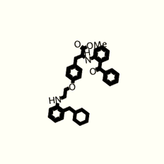 COC(=O)C(Cc1ccc(OCCNc2ccccc2CC2CCCCC2)cc1)Nc1ccccc1C(=O)c1ccccc1